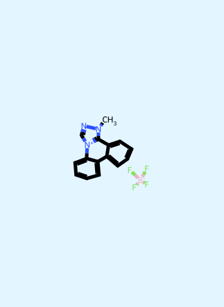 Cn1nc[n+]2c3ccccc3c3ccccc3c12.F[B-](F)(F)F